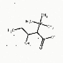 CCC(N)C(C(=O)[O-])[N+](C)(C)C